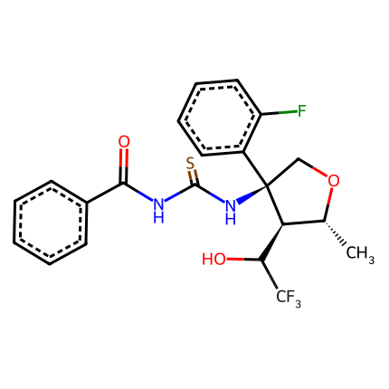 C[C@H]1OC[C@@](NC(=S)NC(=O)c2ccccc2)(c2ccccc2F)[C@@H]1C(O)C(F)(F)F